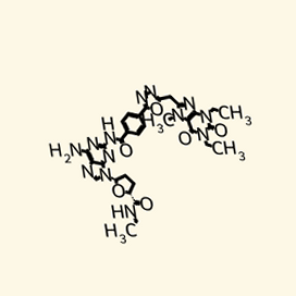 CCNC(=O)[C@H]1CC[C@H](n2cnc3c(N)nc(NC(=O)c4ccc(-c5nnc(Cc6nc7c(c(=O)n(CC)c(=O)n7CC)n6C)o5)cc4)nc32)O1